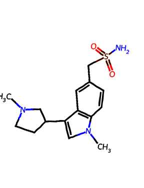 CN1CCC(c2cn(C)c3ccc(CS(N)(=O)=O)cc23)C1